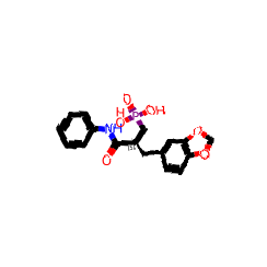 O=C(Nc1ccccc1)[C@H](Cc1ccc2c(c1)OCO2)CP(=O)(O)O